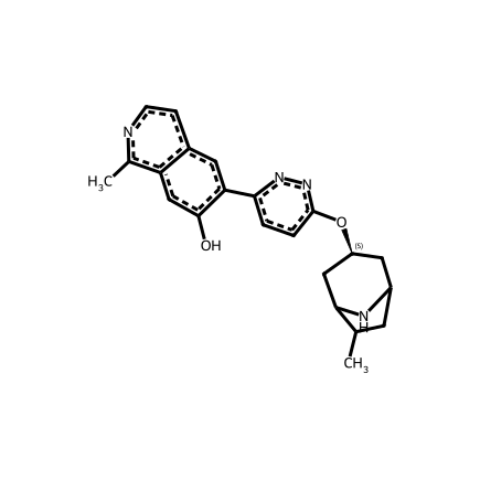 Cc1nccc2cc(-c3ccc(O[C@H]4CC5CC(C)C(C4)N5)nn3)c(O)cc12